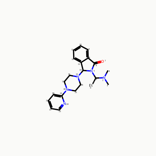 CCC(N(C)C)N1C(=O)c2ccccc2C1N1CCN(c2ccccn2)CC1